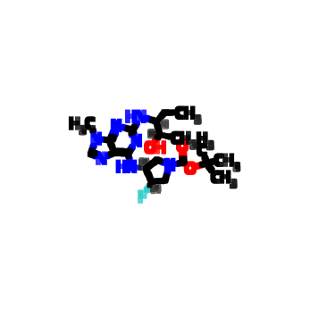 CC[C@H](Nc1nc(N[C@@H]2CN(C(=O)OC(C)(C)C)C[C@H]2F)c2ncn(C)c2n1)[C@@H](C)O